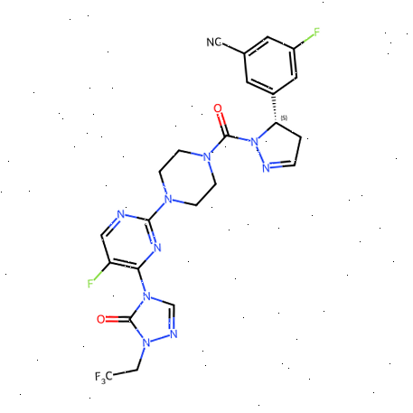 N#Cc1cc(F)cc([C@@H]2CC=NN2C(=O)N2CCN(c3ncc(F)c(-n4cnn(CC(F)(F)F)c4=O)n3)CC2)c1